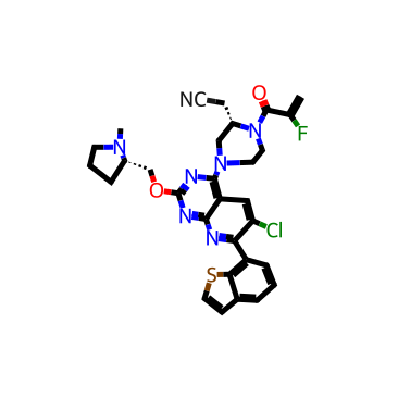 C=C(F)C(=O)N1CCN(c2nc(OC[C@@H]3CCCN3C)nc3nc(-c4cccc5ccsc45)c(Cl)cc23)C[C@@H]1CC#N